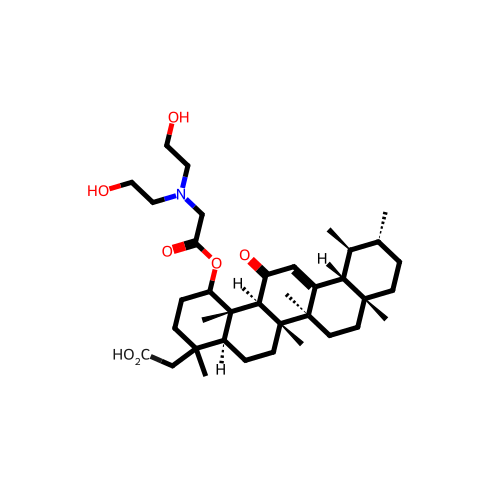 C[C@H]1[C@H](C)CC[C@]2(C)CC[C@]3(C)C(=CC(=O)[C@@H]4[C@@]5(C)C(OC(=O)CN(CCO)CCO)CCC(C)(CC(=O)O)[C@@H]5CC[C@]43C)[C@H]12